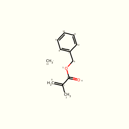 C=C(C)C(=O)OCc1ccccc1.[CH3]